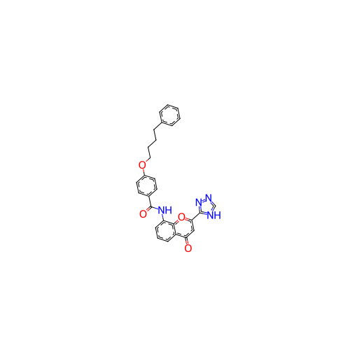 O=C(Nc1cccc2c(=O)cc(-c3nnc[nH]3)oc12)c1ccc(OCCCCc2ccccc2)cc1